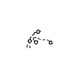 CC(=O)N1CCN(c2ccc(CN(C(=O)C=Cc3ccc(C(F)(F)F)cc3)C(Cc3ccccc3)C(=O)N(C)CCOCCOCc3ccccc3)cc2)CC1